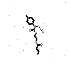 C/C=C/C(=O)OCCOC(=O)N(N=C=O)c1ccc(C)cc1